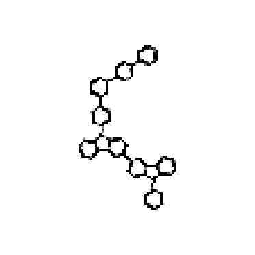 c1ccc(-c2ccc(-c3cccc(-c4ccc(-n5c6ccccc6c6cc(-c7ccc8c(c7)c7ccccc7n8-c7ccccc7)ccc65)cc4)c3)cc2)cc1